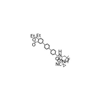 CCC1(CC)OC(=O)c2cc(-c3ccc(-c4ccc([C@H](N[C@@H](CC(C)(C)F)C(=O)NC5(C#N)CC5)C(F)(F)F)cc4)cc3)ccc21